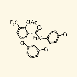 CC(=O)Oc1c(C(=O)Nc2ccc(Cl)cc2)cccc1C(F)(F)F.Clc1cccc(Cl)c1